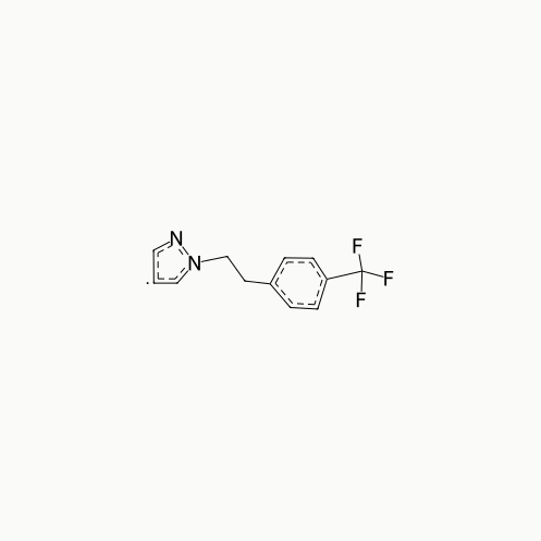 FC(F)(F)c1ccc(CCn2c[c]cn2)cc1